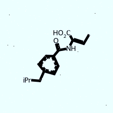 C/C=C(/NC(=O)c1ccc(CC(C)C)cc1)C(=O)O